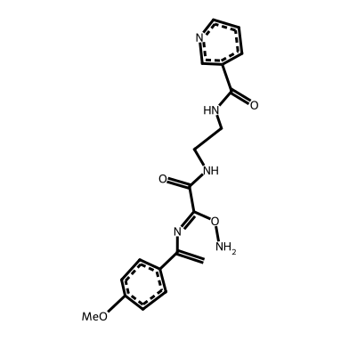 C=C(/N=C(\ON)C(=O)NCCNC(=O)c1cccnc1)c1ccc(OC)cc1